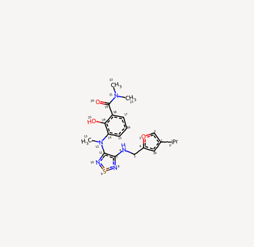 CC(C)c1coc(CNc2nsnc2N(C)c2cccc(C(=O)N(C)C)c2O)c1